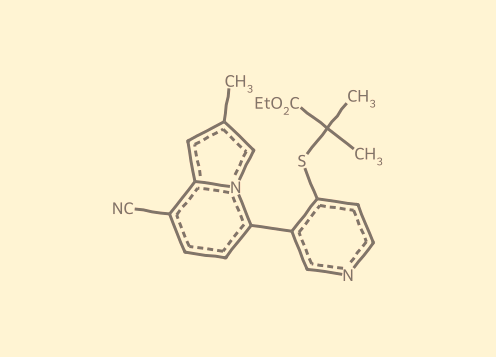 CCOC(=O)C(C)(C)Sc1ccncc1-c1ccc(C#N)c2cc(C)cn12